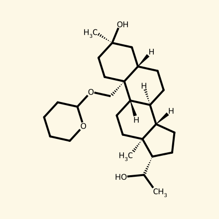 CC(O)[C@H]1CC[C@H]2[C@@H]3CC[C@H]4C[C@](C)(O)CC[C@]4(COC4CCCCO4)[C@H]3CC[C@]12C